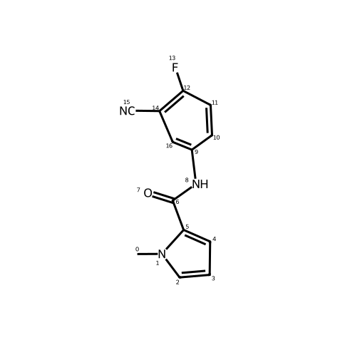 Cn1cccc1C(=O)Nc1ccc(F)c(C#N)c1